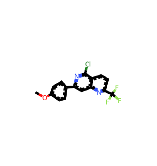 COc1ccc(-c2cc3nc(C(F)(F)F)ccc3c(Cl)n2)cc1